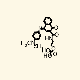 CN(C)c1ccc(/N=C2\C=C(C(=O)NCCOP(=O)(O)O)C(=O)c3ccccc32)cc1